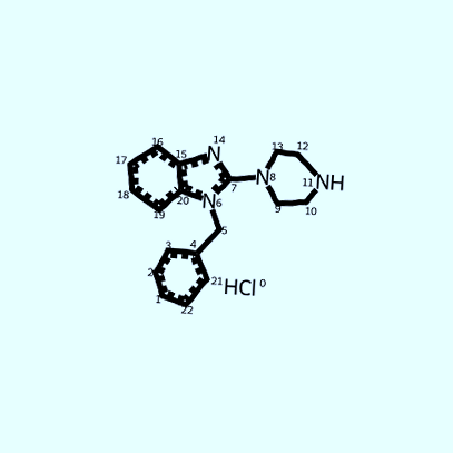 Cl.c1ccc(Cn2c(N3CCNCC3)nc3ccccc32)cc1